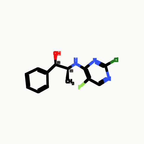 C[C@H](Nc1nc(Cl)ncc1F)[C@H](O)c1ccccc1